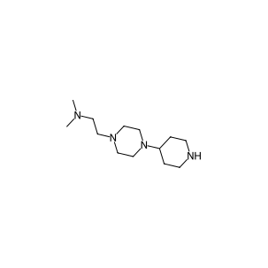 CN(C)CCN1CCN(C2CCNCC2)CC1